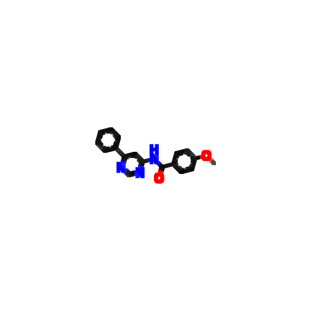 COc1ccc(C(=O)Nc2cc(-c3ccccc3)ncn2)cc1